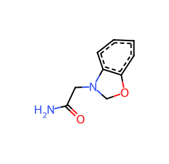 NC(=O)CN1COc2ccccc21